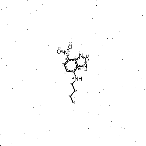 CCCCNc1ccc([N+](=O)[O-])c2nonc12